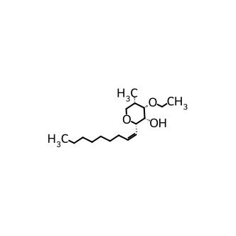 CCCCCCC/C=C\[C@@H]1OC[C@H](C)[C@H](OCC)[C@@H]1O